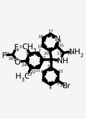 Cc1cc(C2(c3cccc(Br)c3)NC(N)c3ncccc32)cc(C)c1OC(F)F